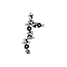 O=C(NC/C(=N/C(=O)c1ccc(Nc2nc(NC3(c4ccc(Cl)cc4)CC3)nc(OCC(F)(F)F)n2)cc1)C(=O)O)C(=O)Nc1ccc(-n2cncn2)cc1